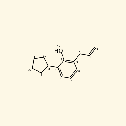 C=CCc1cccc(C2CCCC2)c1O